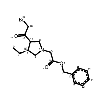 CC[C@@H]1CN(CC(=O)OCc2ccccc2)CC1C(=O)CBr